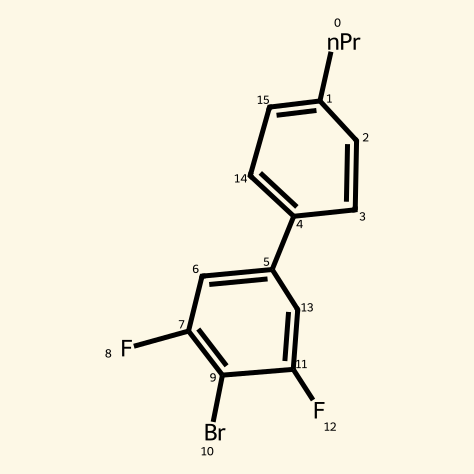 CCCc1ccc(-c2cc(F)c(Br)c(F)c2)cc1